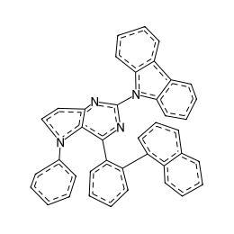 c1ccc(-n2ccc3nc(-n4c5ccccc5c5ccccc54)nc(-c4ccccc4-c4cccc5ccccc45)c32)cc1